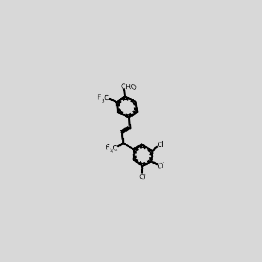 O=Cc1ccc(/C=C/C(c2cc(Cl)c(Cl)c(Cl)c2)C(F)(F)F)cc1C(F)(F)F